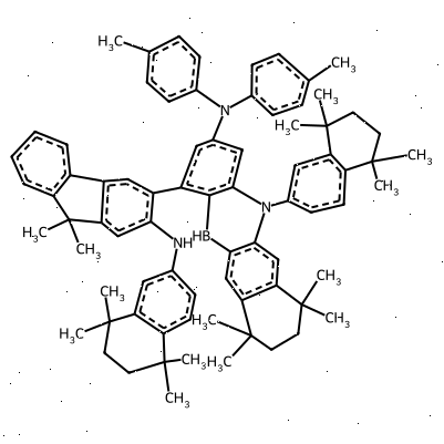 Cc1ccc(N(c2ccc(C)cc2)c2cc(-c3cc4c(cc3Nc3ccc5c(c3)C(C)(C)CCC5(C)C)C(C)(C)c3ccccc3-4)c3c(c2)N(c2ccc4c(c2)C(C)(C)CCC4(C)C)c2cc4c(cc2B3)C(C)(C)CCC4(C)C)cc1